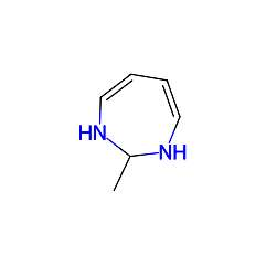 CC1NC=CC=CN1